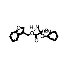 CCCCC(N)(Oc1ccccc1)C(=O)OCc1coc2ccccc12